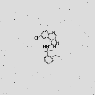 CCc1ccccc1C(C)(C)Nc1nnc2cnc3ccc(Cl)cc3n12